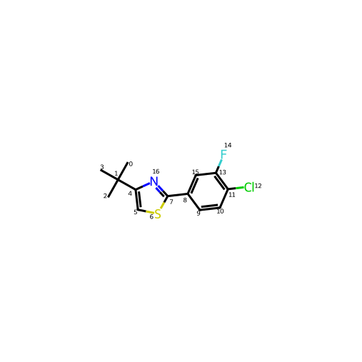 CC(C)(C)c1csc(-c2ccc(Cl)c(F)c2)n1